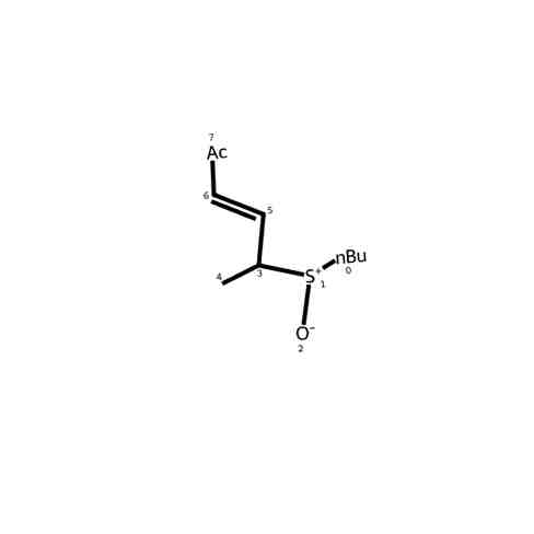 CCCC[S+]([O-])C(C)C=CC(C)=O